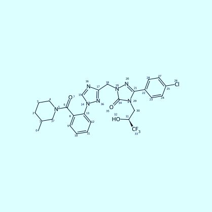 CC1CCCN(C(=O)c2ccccc2-n2cnc(Cn3nc(-c4ccc(Cl)cc4)n(C[C@H](O)C(F)(F)F)c3=O)n2)C1